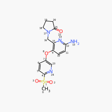 CS(=O)(=O)c1ccc(Oc2ccc(N)nc2CN2CCCC2=O)cn1